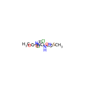 CCSc1ccc(CC(=O)Nc2cc(Cl)c(C3(c4noc(-c5ccc(OC)cc5)n4)CC3)c(Cl)c2)nc1